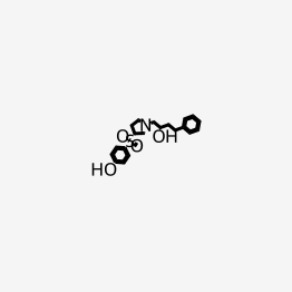 O=S(=O)(c1ccc(O)cc1)[C@H]1CCN(C[C@@H](O)CCc2ccccc2)C1